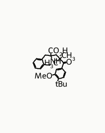 COc1cc(C(=O)C(C)(C)CC2(C(=O)O)Cc3ccccc3CN2)ccc1C(C)(C)C